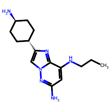 CCCNc1cc(N)nn2cc([C@H]3CC[C@H](N)CC3)nc12